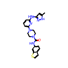 Cc1cc(Nc2cccc(N3CCN(C(=O)Nc4ccc5ccsc5c4)CC3)n2)n[nH]1